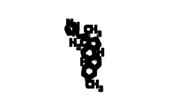 C[C@H]1CC[C@H]2C(CC[C@@H]3C2CC[C@@]2(C)C3CCC2[C@@H](C)Cn2ccnn2)C1